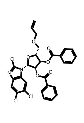 C=CCOC[C@H]1O[C@@H](n2c(Cl)nc3cc(Cl)c(Cl)cc32)[C@H](OC(=O)c2ccccc2)[C@@H]1OC(=O)c1ccccc1